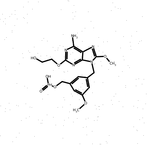 COc1cc(CO[PH](=O)O)cc(Cn2c(OC)nc3c(N)nc(OCCO)nc32)c1